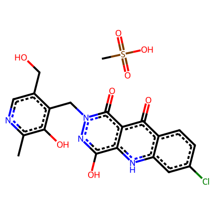 CS(=O)(=O)O.Cc1ncc(CO)c(Cn2nc(O)c3[nH]c4cc(Cl)ccc4c(=O)c3c2=O)c1O